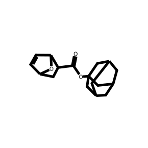 O=C(OC12CC3CC(CC(C3)C1)C2)C1CC2C=CC1O2